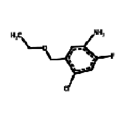 CCOCc1cc(N)c(F)cc1Cl